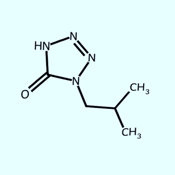 CC(C)Cn1nn[nH]c1=O